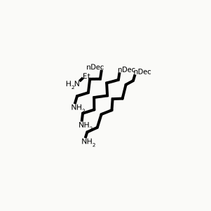 CCCCCCCCCCCCCCCCCCN.CCCCCCCCCCCCCCCCN.CCCCCCCCCCCCCCN.CCN